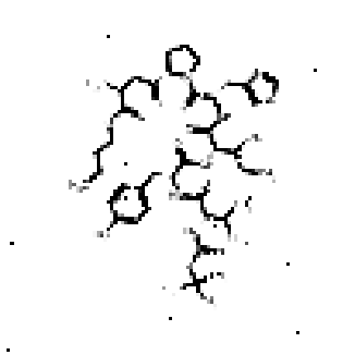 CCCCOC(=O)[C@@H](C)CC(=O)[C@@H]1CCCN1C(=O)[C@H](Cc1c[nH]cn1)NC(=O)[C@@H](NC(=O)[C@H](Cc1ccc(O)cc1)NC(=O)[C@@H](NC(=O)OC(C)(C)C)C(C)C)C(C)CC